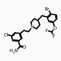 NC(=O)c1cc(Cl)cc(CCN2CCC(Cc3cc(OC(F)F)ccc3Br)CC2)c1